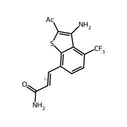 CC(=O)c1sc2c(/C=C/C(N)=O)ccc(C(F)(F)F)c2c1N